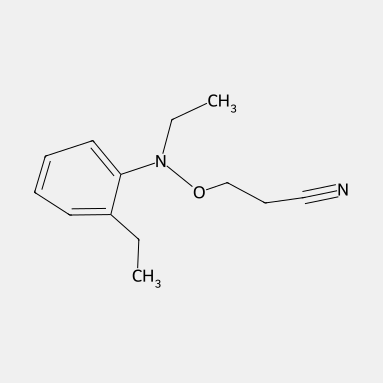 CCc1ccccc1N(CC)OCCC#N